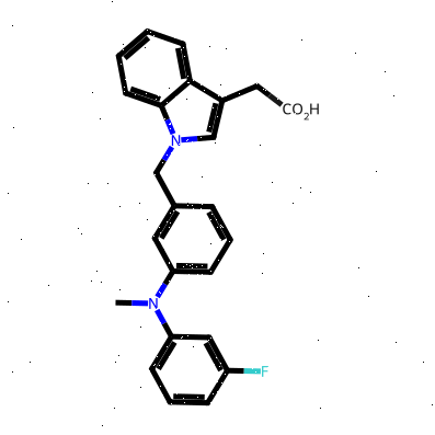 CN(c1cccc(F)c1)c1cccc(Cn2cc(CC(=O)O)c3ccccc32)c1